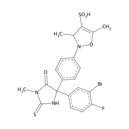 CC1=C(S(=O)(=O)O)C(C)N(c2ccc(C3(c4ccc(F)c(Br)c4)NC(=S)N(C)C3=O)cc2)O1